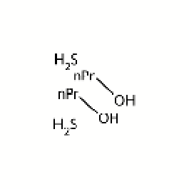 CCCO.CCCO.S.S